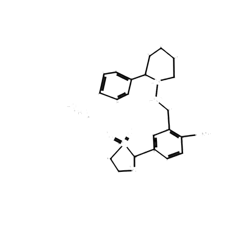 COc1ccc(C2NCCS2(=O)=O)cc1CNN1CCCCC1c1ccccc1.Cl.Cl